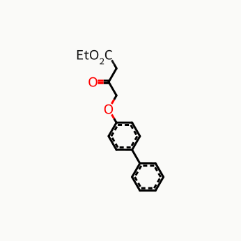 CCOC(=O)CC(=O)COc1ccc(-c2ccccc2)cc1